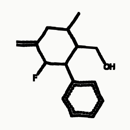 C=C1CC(C)C(CO)C(c2ccccc2)C1F